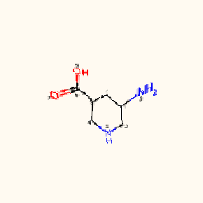 NC1CNCC(C(=O)O)C1